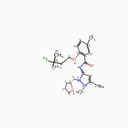 Cn1c(C(C)(C)C)cc(=NC(=O)c2cc(C(F)(F)F)ccc2OCCC(C)(C)F)n1C[C@H]1CCCO1